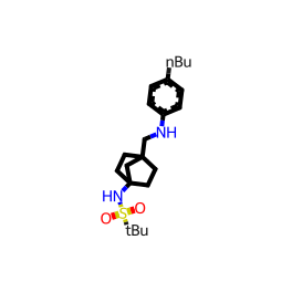 CCCCc1ccc(NCC23CCC(NS(=O)(=O)C(C)(C)C)(CC2)C3)cc1